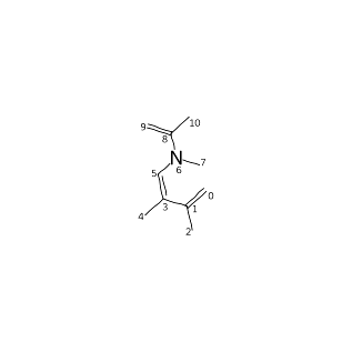 C=C(C)/C(C)=C\N(C)C(=C)C